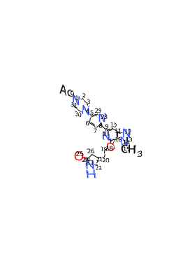 CC(=O)N1CCN(c2ccc(-c3cc4ncn(C)c4c(OCCC4CNC(=O)C4)n3)nc2)CC1